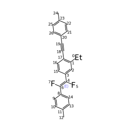 CCc1cc(/C(F)=C(\F)c2ccc(C)cc2)ccc1C#Cc1ccc(C)cc1